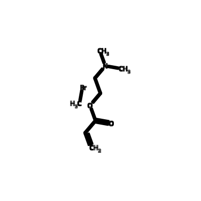 C=CC(=O)OCCN(C)C.CBr